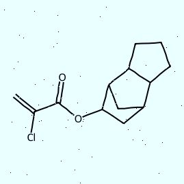 C=C(Cl)C(=O)OC1CC2CC1C1CCCC21